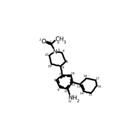 CC(=O)N1CCC(c2ccc(N)c(C3=CCCCC3)c2)CC1